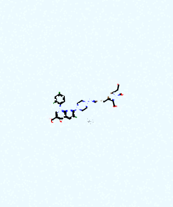 C[C@@H](O)[C@@H]1C(=O)N2C(C(=O)[O-])=C(CSC=NN3CCN(c4nc5c(cc4F)c(=O)c(C(=O)[O-])cn5-c4ccc(F)cc4F)CC3)S[C@H]12.[Na+].[Na+]